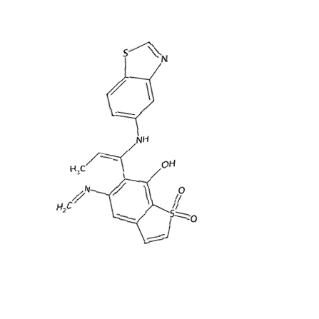 C=Nc1cc2c(c(O)c1/C(=C\C)Nc1ccc3scnc3c1)S(=O)(=O)C=C2